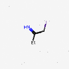 CCC(=N)CI